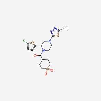 O=C(C1CCS(=O)(=O)CC1)N1CCN(c2nnc(C(F)(F)F)s2)CC1c1ccc(F)s1